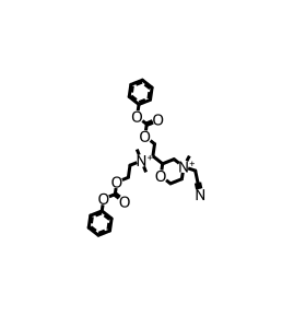 C[N+]1(CC#N)CCOC(C(COC(=O)Oc2ccccc2)[N+](C)(C)CCOC(=O)Oc2ccccc2)C1